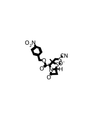 C[C@]1(CSC#N)[C@H](C(=O)OCc2ccc([N+](=O)[O-])cc2)N2C(=O)C[C@H]2[S+]1[O-]